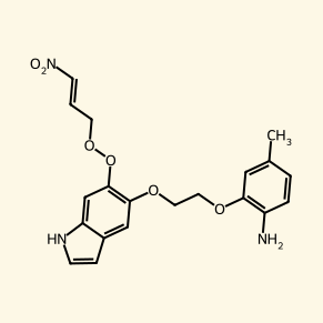 Cc1ccc(N)c(OCCOc2cc3cc[nH]c3cc2OOCC=C[N+](=O)[O-])c1